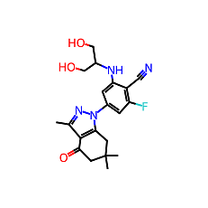 Cc1nn(-c2cc(F)c(C#N)c(NC(CO)CO)c2)c2c1C(=O)CC(C)(C)C2